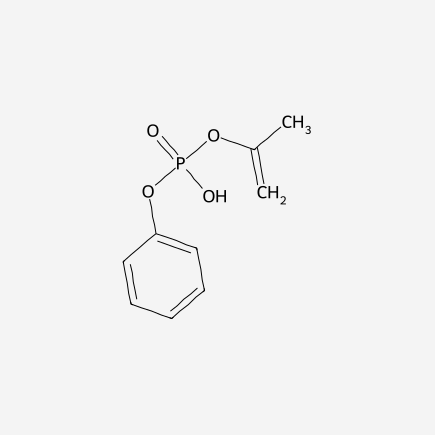 C=C(C)OP(=O)(O)Oc1ccccc1